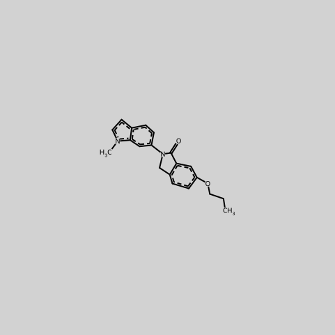 CCCOc1ccc2c(c1)C(=O)N(c1ccc3ccn(C)c3c1)C2